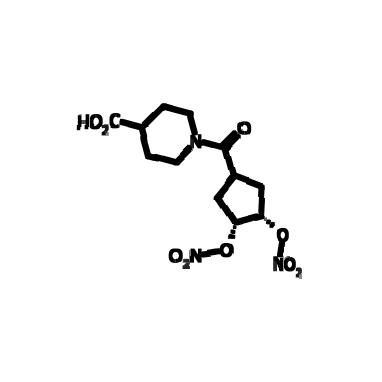 O=C(O)C1CCN(C(=O)C2C[C@H](O[N+](=O)[O-])[C@H](O[N+](=O)[O-])C2)CC1